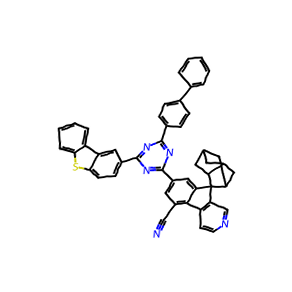 N#Cc1cc(-c2nc(-c3ccc(-c4ccccc4)cc3)nc(-c3ccc4sc5ccccc5c4c3)n2)cc2c1-c1ccncc1C21C2CC3CC(C2)C1C3